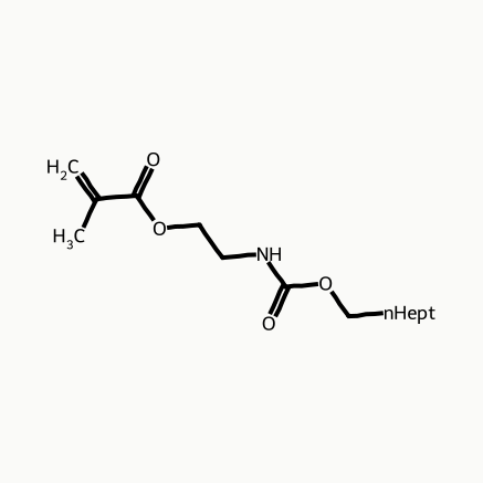 C=C(C)C(=O)OCCNC(=O)OCCCCCCCC